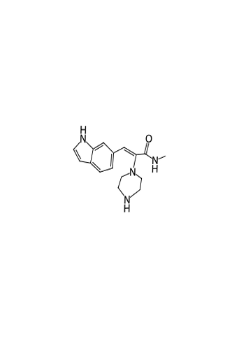 CNC(=O)C(=Cc1ccc2cc[nH]c2c1)N1CCNCC1